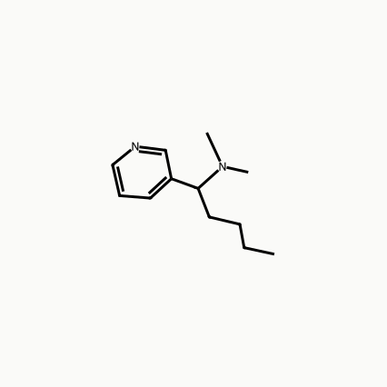 CCCC[C](c1cccnc1)N(C)C